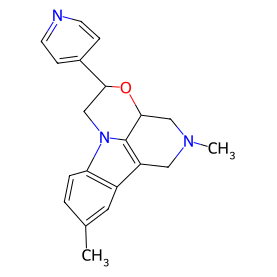 Cc1ccc2c(c1)c1c3n2CC(c2ccncc2)OC3CN(C)C1